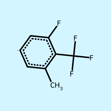 Cc1c[c]cc(F)c1C(F)(F)F